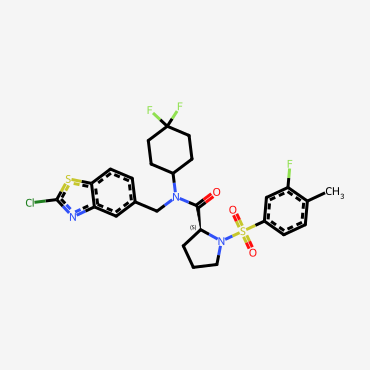 Cc1ccc(S(=O)(=O)N2CCC[C@H]2C(=O)N(Cc2ccc3sc(Cl)nc3c2)C2CCC(F)(F)CC2)cc1F